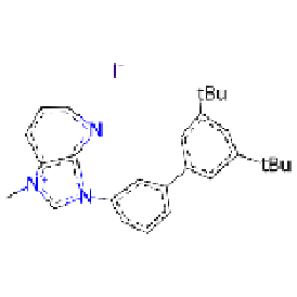 C[n+]1cn(-c2cccc(-c3cc(C(C)(C)C)cc(C(C)(C)C)c3)c2)c2ncccc21.[I-]